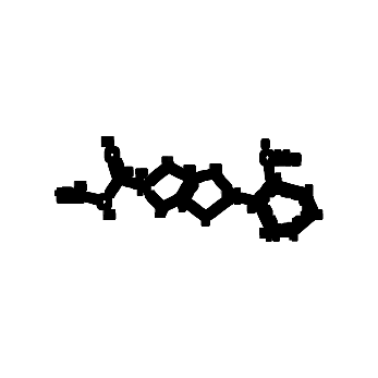 COc1cccnc1N1CC2=C(CN(C(=O)OC(C)(C)C)C2)C1